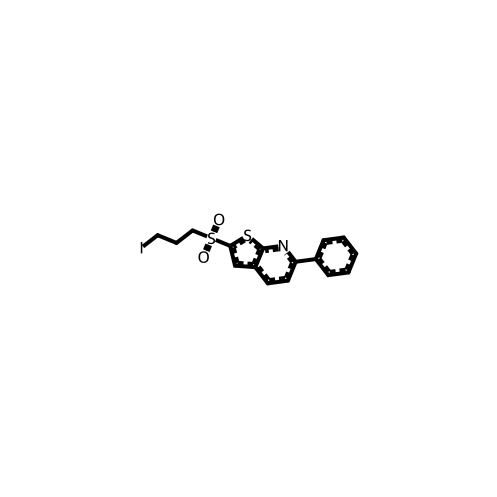 O=S(=O)(CCCI)c1cc2ccc(-c3ccccc3)nc2s1